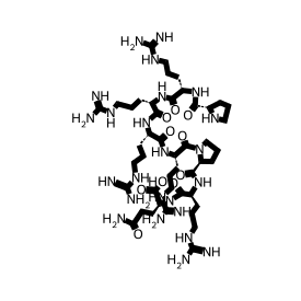 N=C(N)NCCC[C@H](NC(=O)[C@@H]1CCCN1)C(=O)N[C@@H](CCCNC(=N)N)C(=O)N[C@@H](CCCNC(=N)N)C(=O)N[C@@H](CCCNC(=N)N)C(=O)N1CCC[C@H]1C(=O)N[C@@H](CCCNC(=N)N)C(=O)N[C@@H](CCC(N)=O)C(=O)O